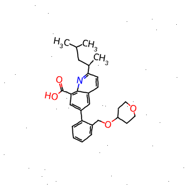 CC(C)CC(C)c1ccc2cc(-c3ccccc3COC3CCOCC3)cc(C(=O)O)c2n1